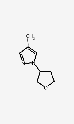 Cc1cnn(C2CCOC2)c1